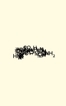 CCCC(NC(=O)c1ccc(CCc2ccc3nc(N)nc(N)c3c2F)cc1)(NC(=O)c1ccccc1-c1nnn[nH]1)C(=O)O